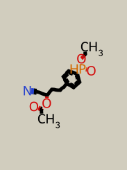 CCO[PH](=O)c1ccc(CCC(C#N)OC(C)=O)cc1